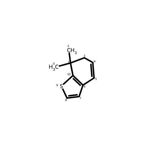 CC1(C)CC=Cc2ccsc21